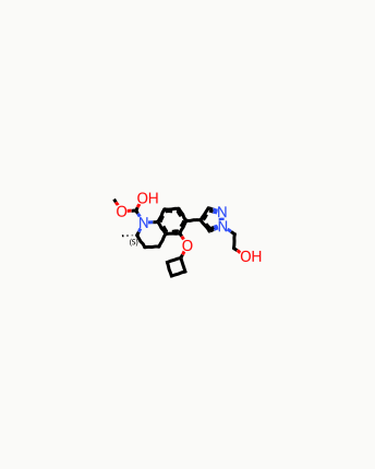 COC(O)N1c2ccc(-c3cnn(CCO)c3)c(OC3CCC3)c2CC[C@@H]1C